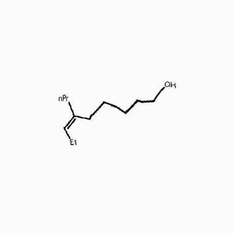 CCC=C(CCC)CCCCCO